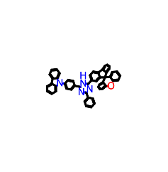 c1ccc(C2=NC(c3ccc4c(c3)C3(c5ccccc5Oc5ccccc53)c3ccccc3-4)NC(c3ccc(-n4c5ccccc5c5ccccc54)cc3)=N2)cc1